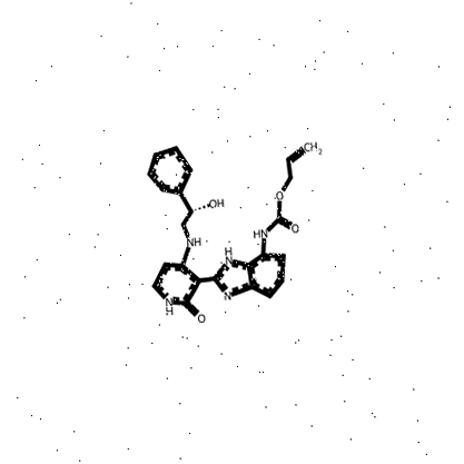 C=CCOC(=O)Nc1cccc2nc(-c3c(NC[C@@H](O)c4ccccc4)cc[nH]c3=O)[nH]c12